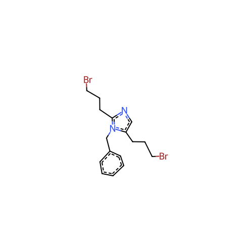 BrCCCc1cnc(CCCBr)n1Cc1ccccc1